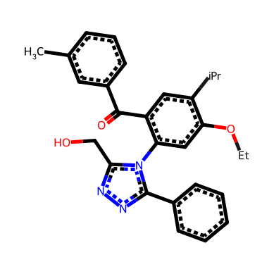 CCOc1cc(-n2c(CO)nnc2-c2ccccc2)c(C(=O)c2cccc(C)c2)cc1C(C)C